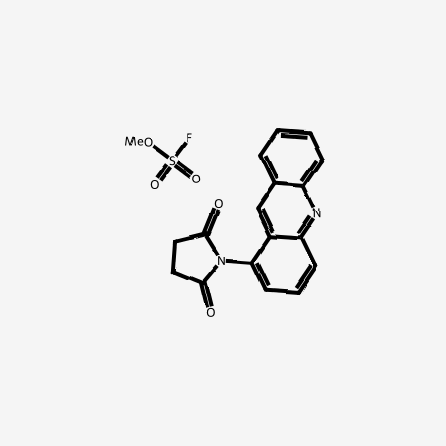 COS(=O)(=O)F.O=C1CCC(=O)N1c1cccc2nc3ccccc3cc12